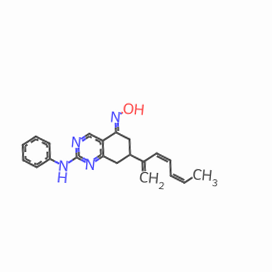 C=C(/C=C\C=C/C)C1C/C(=N\O)c2cnc(Nc3ccccc3)nc2C1